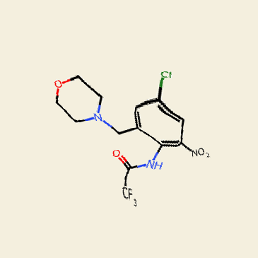 O=C(Nc1c(CN2CCOCC2)cc(Cl)cc1[N+](=O)[O-])C(F)(F)F